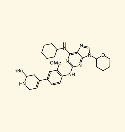 CCCCC1CC(c2ccc(Nc3nc(NC4CCCCC4)c4ncn(C5CCCCO5)c4n3)c(OC)c2)=CCN1